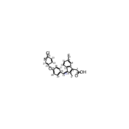 CC1=C(CC(=O)O)c2cc(F)ccc2/C1=C\c1ccc(Oc2ccc(Cl)nc2)cc1